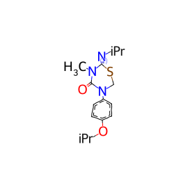 CC(C)/N=C1\SCN(c2ccc(OC(C)C)cc2)C(=O)N1C